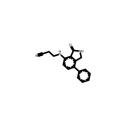 N#CCCNc1ccc(-c2ccccc2)c2c1C(=O)NC2